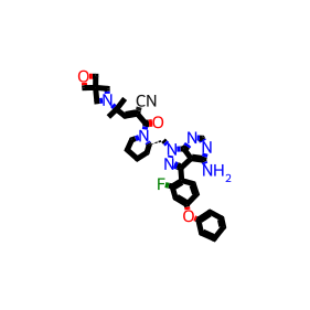 CC(C)(C=C(C#N)C(=O)N1CCCC[C@H]1Cn1nc(-c2ccc(Oc3ccccc3)cc2F)c2c(N)ncnc21)N1CC2(COC2)C1